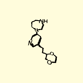 c1ncc(N2CCCNCC2)cc1CCC1COCCO1